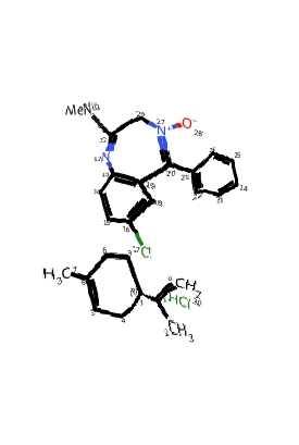 C=C(C)[C@H]1CC=C(C)CC1.CNC1=Nc2ccc(Cl)cc2C(c2ccccc2)=[N+]([O-])C1.Cl